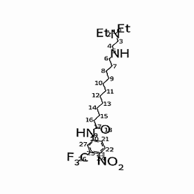 CCN(CC)CCNCCCCCCCCCCCC(=O)Nc1ccc([N+](=O)[O-])c(C(F)(F)F)c1